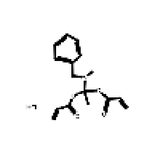 C=CC(=O)OC(C)(OC(=O)C=C)N(C)Cc1ccccc1.Cl